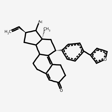 C=C[C@@H]1CC2C3CCC4=CC(=O)CCC4=C3[C@@H](c3ccc(-c4ccoc4)cc3)C[C@]2(C)C1C(C)=O